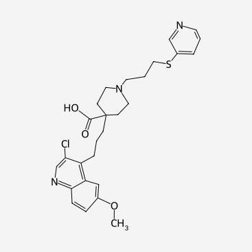 COc1ccc2ncc(Cl)c(CCCC3(C(=O)O)CCN(CCCSc4cccnc4)CC3)c2c1